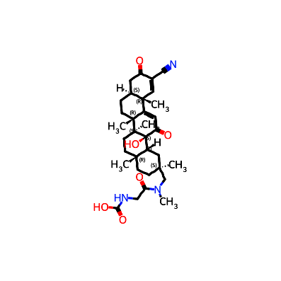 CN(C[C@@]1(C)CC[C@]2(C)CC[C@@]3(C)[C@]4(C)CC[C@H]5CC(=O)C(C#N)=C[C@]5(C)C4=CC(=O)[C@]3(O)[C@@H]2C1)C(=O)CNC(=O)O